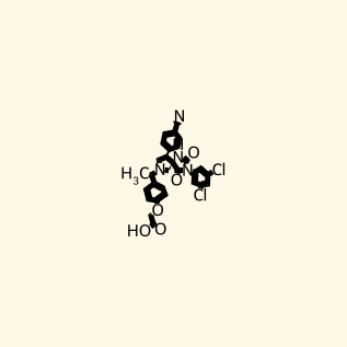 CC(c1ccc(OCC(=O)O)cc1)N1C[C@@H](c2ccc(C#N)cc2)[C@@]2(C1)NC(=O)N(c1cc(Cl)cc(Cl)c1)C2=O